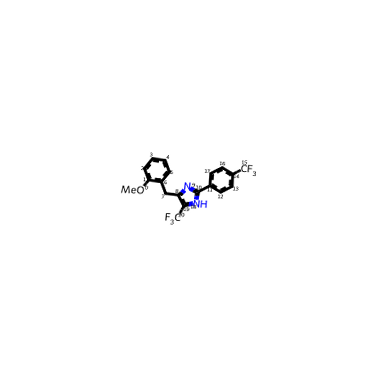 COc1ccccc1Cc1nc(-c2ccc(C(F)(F)F)cc2)[nH]c1C(F)(F)F